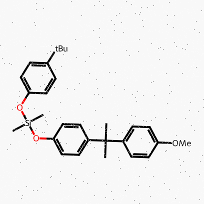 COc1ccc(C(C)(C)c2ccc(O[Si](C)(C)Oc3ccc(C(C)(C)C)cc3)cc2)cc1